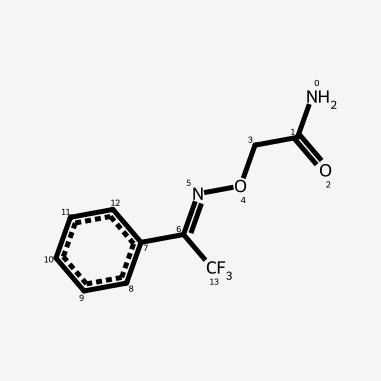 NC(=O)CON=C(c1ccccc1)C(F)(F)F